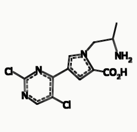 CC(N)Cn1cc(-c2nc(Cl)ncc2Cl)cc1C(=O)O